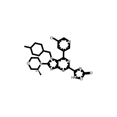 CC1CCC(Cn2c(N3CCOC[C@@H]3C)nc3nc(-c4nc(=O)o[nH]4)nc(-c4cncc(Cl)c4)c32)CC1